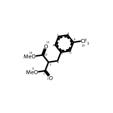 COC(=O)C(Cc1cccc(C(F)(F)F)c1)C(=O)OC